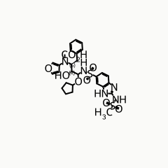 CS(=O)(=O)Nc1nc2ccc(S(=O)(=O)NC(OC3CCCC3)[C@H](O)[C@H](Cc3ccccc3)N(C(=O)O)c3ccoc3)cc2[nH]1